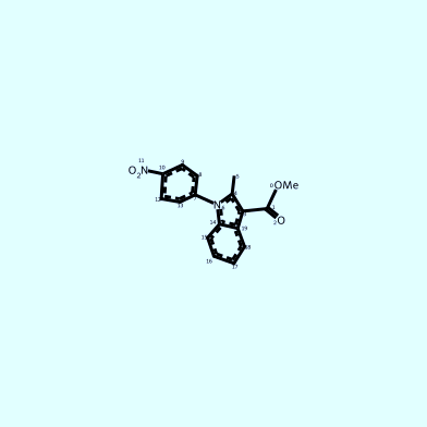 COC(=O)c1c(C)n(-c2ccc([N+](=O)[O-])cc2)c2ccccc12